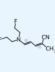 C/C(C#N)=C/C=C/N(CCF)CCF